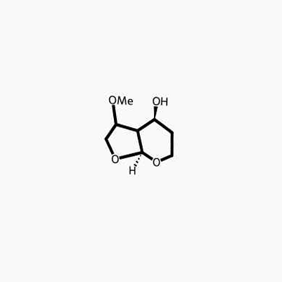 COC1CO[C@@H]2OCC[C@H](O)C12